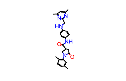 Cc1ccc(C)c(N2CC(C(=O)Nc3ccc(NCc4nc(C)cc(C)n4)cc3)CC2=O)c1